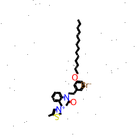 CCCCCCCCCCCCCCOc1cccc(CCN(C(C)=O)c2ccccc2C[n+]2csc(C)c2)c1.[Br-]